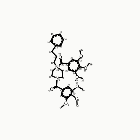 COc1cc(C(=O)N2CC[N+](CCCc3ccccc3)(C(=O)c3cc(OC)c(OC)c(OC)c3)CC2)cc(OC)c1OC